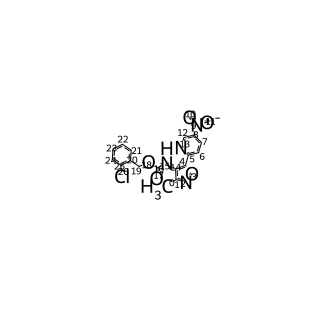 Cc1noc(-c2ccc([N+](=O)[O-])cn2)c1NC(=O)OCc1ccccc1Cl